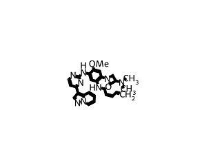 C=C/C=C\C(=O)Nc1cc(Nc2nccc(-c3cnn4ccccc34)n2)c(OC)cc1N1CC(N(C)C)C1